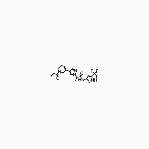 C=CC(=O)N1CCC=C(c2cnn(C(C)C(=O)Nc3cc(C(F)(F)F)[nH]n3)c2)C1